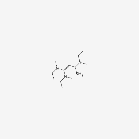 CCN(C)C(=CC([SiH3])N(C)CC)N(C)CC